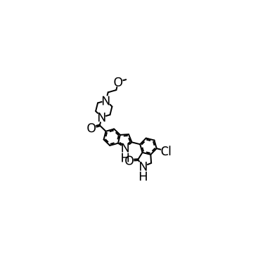 COCCN1CCN(C(=O)c2ccc3[nH]c(-c4ccc(Cl)c5c4C(=O)NC5)cc3c2)CC1